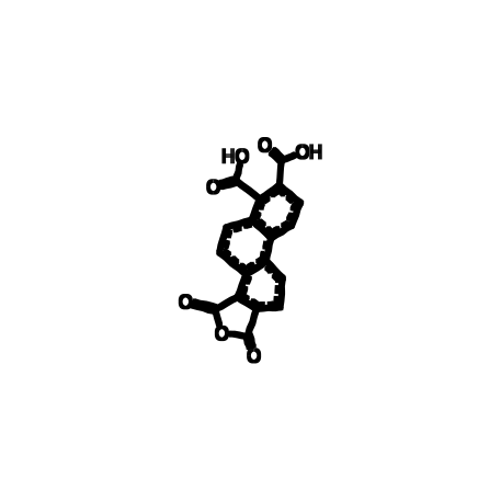 O=C(O)c1ccc2c(ccc3c4c(ccc32)C(=O)OC4=O)c1C(=O)O